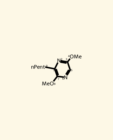 CCCCCc1nc(OC)cnc1OC